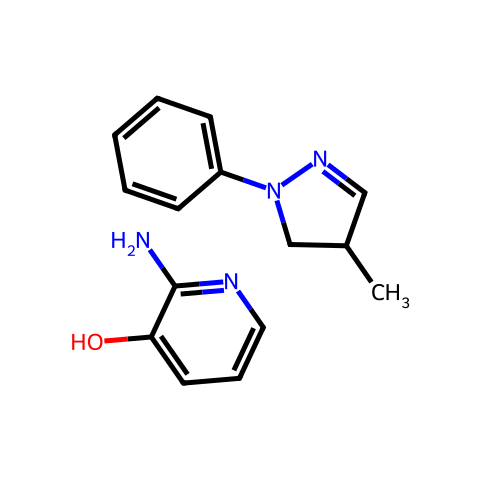 CC1C=NN(c2ccccc2)C1.Nc1ncccc1O